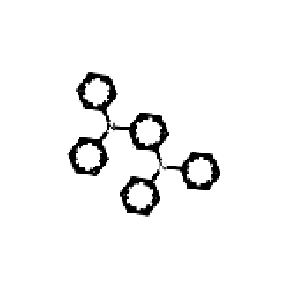 [c]1c(N(c2ccccc2)c2ccccc2)cccc1N(c1ccccc1)c1ccccc1